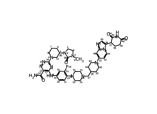 CN1CCN([C@@H]2CCCN(c3nnc(C(N)=O)c(Nc4ccc(N5CCN(CC6CCN(c7ccn8c(C9CCC(=O)NC9=O)cnc8c7)CC6)CC5)c(F)c4)n3)C2)C1=O